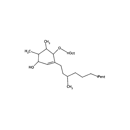 CCCCCCCCOC1C(CCC(C)CCCC(C)CCC)=CC(O)C(C)C1C